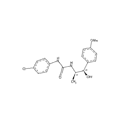 COc1ccc([C@@H](O)[C@@H](C)NC(=O)Nc2ccc(Cl)cc2)cc1